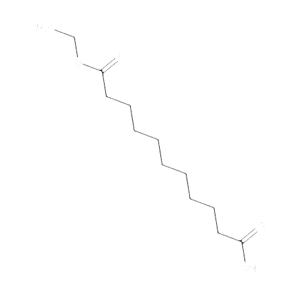 CCOC(=O)CCCCCCCCCC(=O)O